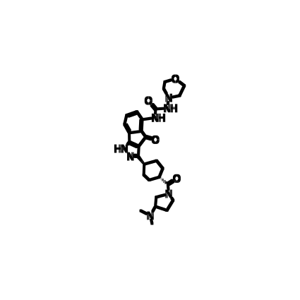 CN(C)C1CCN(C(=O)[C@H]2CC[C@H](c3n[nH]c4c3C(=O)c3c(NC(=O)NN5CCOCC5)cccc3-4)CC2)C1